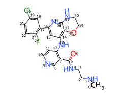 CNCCNC(=O)c1cnccc1Nc1cc(-c2cc(Cl)ccc2F)nc2c1OCCN2